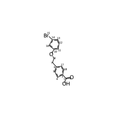 O=C(O)c1ccc(CCOc2cccc(Br)c2)cc1